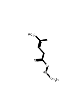 CCOC(=O)NOC(=O)CC=C(C)C(=O)O